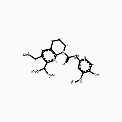 CNCc1cc2c(nc1C(OC)OC)N(C(=O)Nc1cc(OC(C)C)c(C#N)cn1)CCC2